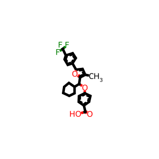 Cc1cc(-c2ccc(C(F)(F)F)cc2)oc1C(Oc1ccc(C(=O)O)cc1)C1CCCCC1